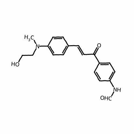 CN(CCO)c1ccc(/C=C/C(=O)c2ccc(NC=O)cc2)cc1